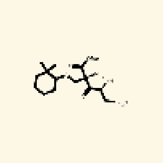 COC(=O)[C@@](N)(CSC1CCCCC1(C)C)C(=O)[C@@H](N)CC(=O)O